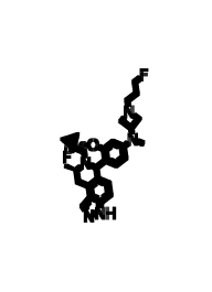 COc1cc(N(C)C2CN(CCCF)C2)ccc1C1c2ccc3[nH]ncc3c2C[C@@H](C)N1CC1(F)CC1